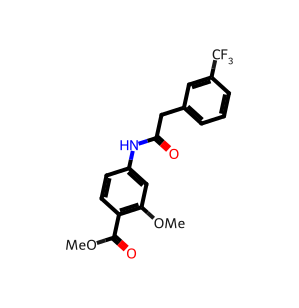 COC(=O)c1ccc(NC(=O)Cc2cccc(C(F)(F)F)c2)cc1OC